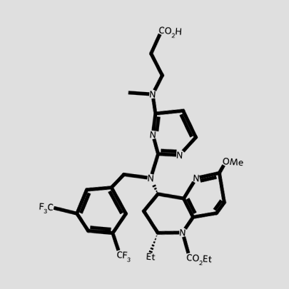 CCOC(=O)N1c2ccc(OC)nc2[C@@H](N(Cc2cc(C(F)(F)F)cc(C(F)(F)F)c2)c2nccc(N(C)CCC(=O)O)n2)C[C@H]1CC